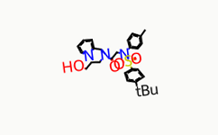 Cc1ccc(N(CC(=O)N(CCCO)Cc2ccccn2)S(=O)(=O)c2ccc(C(C)(C)C)cc2)cc1